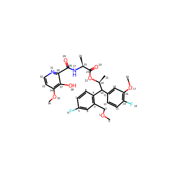 COCc1cc(F)ccc1C(c1ccc(F)c(OC)c1)[C@H](C)OC(=O)[C@H](C)NC(=O)c1nccc(OC)c1O